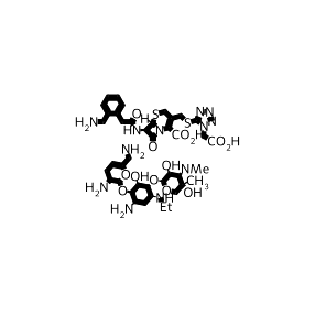 CCN[C@@H]1C[C@H](N)[C@@H](OC2OC(CN)=CCC2N)[C@H](O)[C@H]1O[C@H]1OC[C@](C)(O)[C@H](NC)[C@H]1O.NCc1ccccc1CC(=O)N[C@@H]1C(=O)N2C(C(=O)O)=C(CSc3nnnn3CC(=O)O)CS[C@H]12